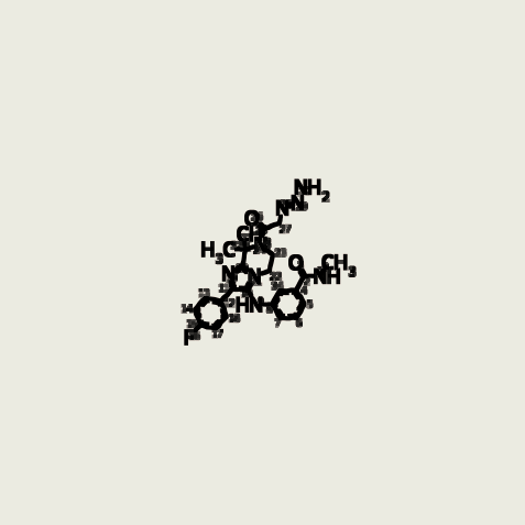 CNC(=O)c1cccc(Nc2c(-c3ccc(F)cc3)nc3n2CCN(C(=O)CN=NN)C3(C)C)c1